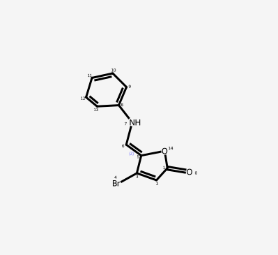 O=C1C=C(Br)/C(=C/Nc2ccccc2)O1